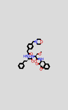 COC[C@H](NC(=O)[C@H](CCc1ccccc1)NC(=O)Cc1ccc(CN2CCOCC2)cc1)C(=O)N[C@@H](Cc1ccccc1)C(=O)[C@H]1CO1